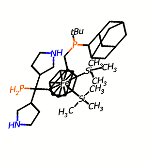 CC(C)(C)P(C[C]12[C]3(C(P)(C4CCNC4)C4CCNC4)[CH]4[C]5([Si](C)(C)C)[C]1([Si](C)(C)C)[Fe]42351678[CH]2[CH]1[CH]6[CH]7[CH]28)C1C2CC3CC(C2)CC1C3